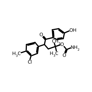 Cc1ccc(C(CC(C)(C)OC(N)=O)C(=O)c2ccc(O)cc2)cc1Cl